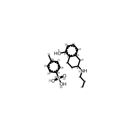 CCCNC1CCc2c(O)cccc2C1.Cc1ccc(S(=O)(=O)O)cc1